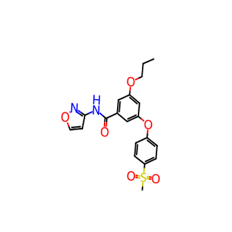 CCCOc1cc(Oc2ccc(S(C)(=O)=O)cc2)cc(C(=O)Nc2ccon2)c1